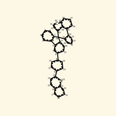 c1ccc2c(c1)-c1cc(-c3ccc(-c4ccc5ccccc5n4)cc3)ccc1C21c2ccccc2-c2cccc3cccc1c23